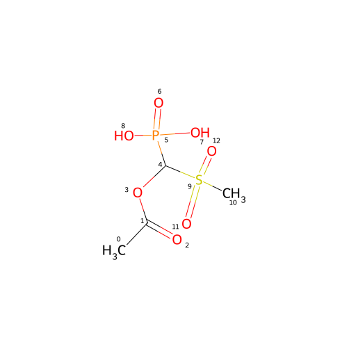 CC(=O)OC(P(=O)(O)O)S(C)(=O)=O